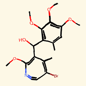 COc1cc(C)c(C(O)c2c(OC)ncc(Br)c2C)c(OC)c1OC